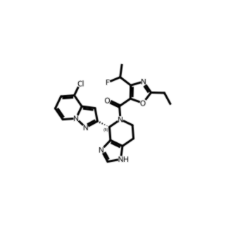 CCc1nc(C(C)F)c(C(=O)N2CCc3[nH]cnc3[C@@H]2c2cc3c(Cl)cccn3n2)o1